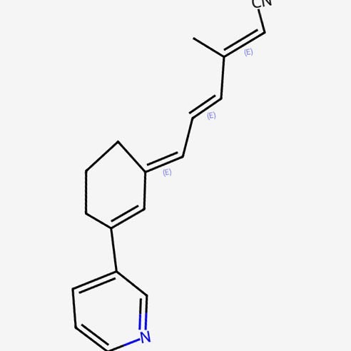 CC(/C=C/C=C1/C=C(c2cccnc2)CCC1)=C\C#N